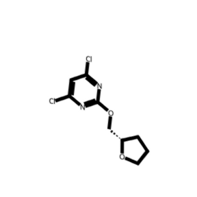 Clc1cc(Cl)nc(OC[C@@H]2CCCO2)n1